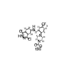 CC(C)(C)OC(=O)N1CCN(c2ccc(C(F)(F)F)cc2CNc2ccc3c(=O)[nH]nc(Cl)c3c2)CC1